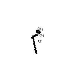 CCCCCCCCCCCC(C)CCCC[n+]1ccc(O)cc1O.[Cl-]